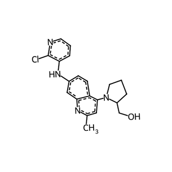 Cc1cc(N2CCCC2CO)c2ccc(Nc3cccnc3Cl)cc2n1